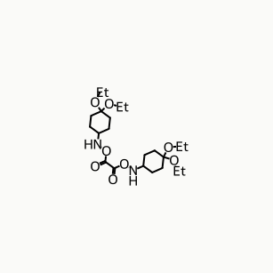 CCOC1(OCC)CCC(NOC(=O)C(=O)ONC2CCC(OCC)(OCC)CC2)CC1